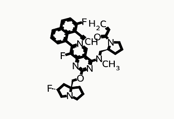 C#Cc1c(F)ccc2cccc(-c3ncc4c(N(C)C[C@@H]5CCCN5C(=O)C=C)nc(OC[C@@]56CCCN5C[C@H](F)C6)nc4c3F)c12